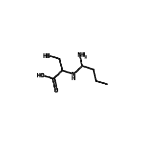 CCCC(N)NC(CS)C(=O)O